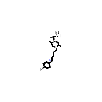 CCNC(=O)N1CC(C)N(CCC/C=C/c2ccc(F)cc2)CC1C